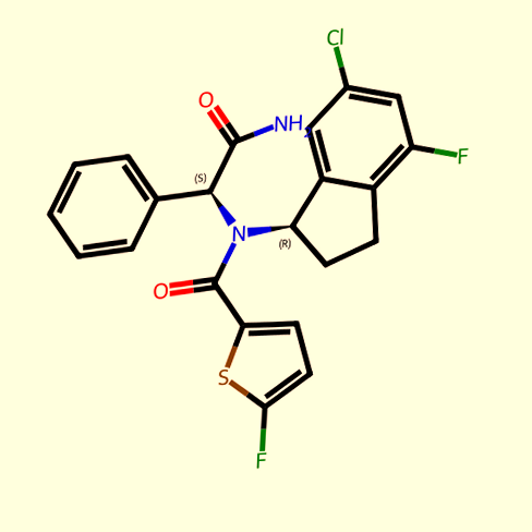 NC(=O)[C@H](c1ccccc1)N(C(=O)c1ccc(F)s1)[C@@H]1CCc2c(F)cc(Cl)cc21